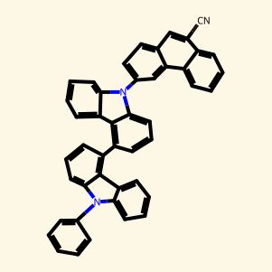 N#Cc1cc2ccc(-n3c4ccccc4c4c(-c5cccc6c5c5ccccc5n6-c5ccccc5)cccc43)cc2c2ccccc12